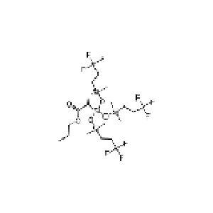 C=C(C(=O)OCCC)[Si](O[Si](C)(C)CCC(F)(F)F)(O[Si](C)(C)CCC(F)(F)F)O[Si](C)(C)CCC(F)(F)F